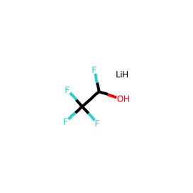 OC(F)C(F)(F)F.[LiH]